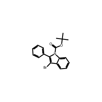 CC(C)(C)OC(=O)n1c(-c2ccccc2)c(Br)c2ccccc21